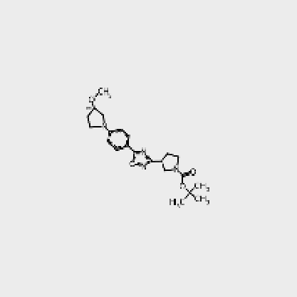 CO[C@@H]1CCN(c2ccc(-c3nc(C4CCN(C(=O)OC(C)(C)C)C4)no3)cc2)C1